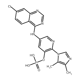 Cc1ncn(-c2ncc(Nc3ncnc4cc(Cl)ccc34)cc2OP(=O)(O)O)c1C